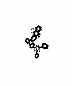 CC1(C)c2ccccc2C(=O)c2cc(-c3ccccc3-c3ccc(-c4nc(-c5ccccc5)nc(-c5ccccc5)n4)cc3)ccc21